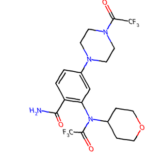 NC(=O)c1ccc(N2CCN(C(=O)C(F)(F)F)CC2)cc1N(C(=O)C(F)(F)F)C1CCOCC1